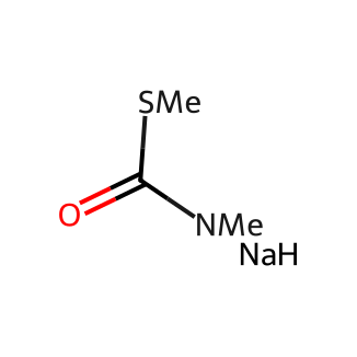 CNC(=O)SC.[NaH]